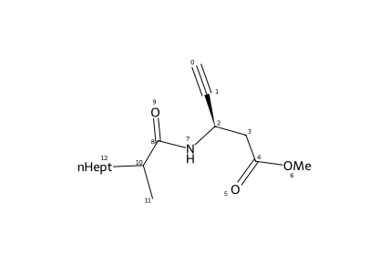 C#C[C@@H](CC(=O)OC)NC(=O)C(C)CCCCCCC